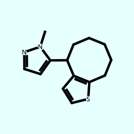 Cn1nccc1C1CCCCCc2sccc21